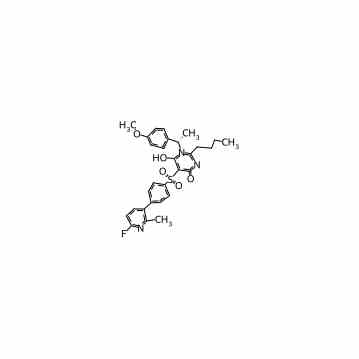 CCCCc1nc(=O)c(S(=O)(=O)c2ccc(-c3ccc(F)nc3C)cc2)c(O)n1[C@@H](C)c1ccc(OC)cc1